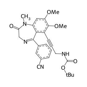 COc1cc2c(c(C#CCNC(=O)OC(C)(C)C)c1OC)C(c1cccc(C#N)c1)=NCC(=O)N2C